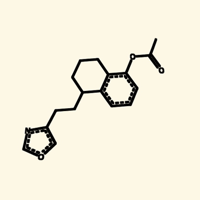 CC(=O)Oc1cccc2c1CCCC2CCc1cocn1